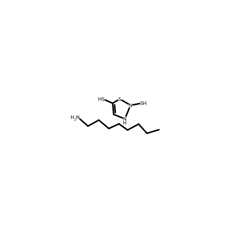 CCCCCCCCN.SC1=CNN(S)S1